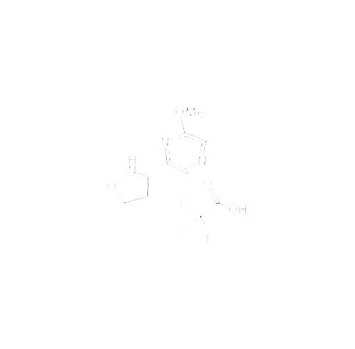 COc1cncc([C@@H]2CCON2)n1.O=C(O)C(F)(F)F